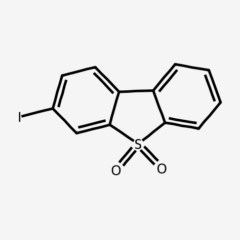 O=S1(=O)c2ccccc2-c2ccc(I)cc21